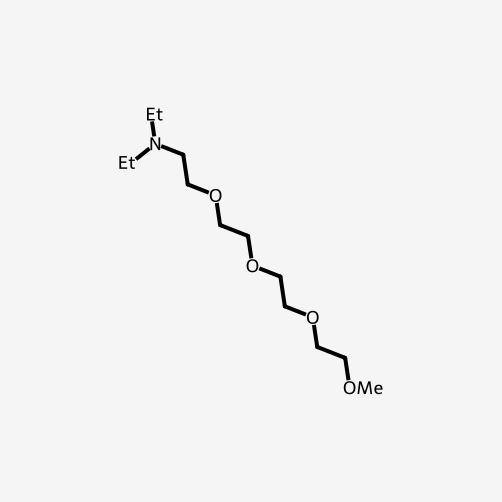 CCN(CC)CCOCCOCCOCCOC